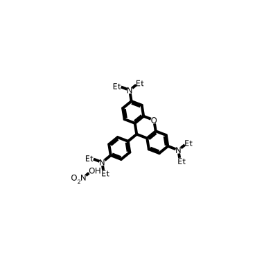 CCN(CC)c1ccc(C2c3ccc(N(CC)CC)cc3Oc3cc(N(CC)CC)ccc32)cc1.O=[N+]([O-])O